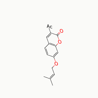 CC(=O)c1cc2ccc(OCC=C(C)C)cc2oc1=O